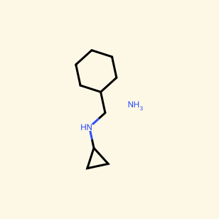 C1CCC(CNC2CC2)CC1.N